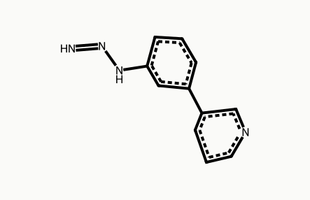 N=NNc1cccc(-c2cccnc2)c1